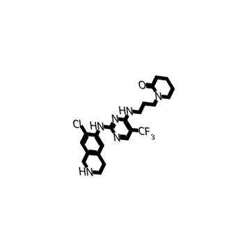 O=C1CCCCN1CCCNc1nc(Nc2cc3c(cc2Cl)CNCC3)ncc1C(F)(F)F